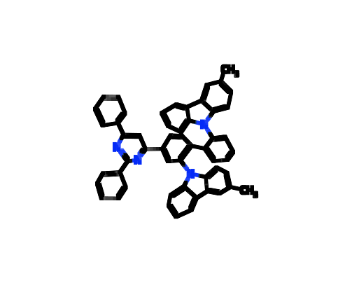 Cc1ccc2c(c1)c1ccccc1n2-c1ccccc1-c1ccc(-c2cc(-c3ccccc3)nc(-c3ccccc3)n2)cc1-n1c2ccccc2c2cc(C)ccc21